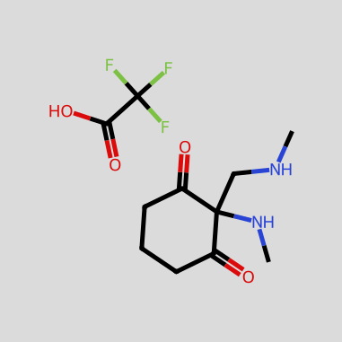 CNCC1(NC)C(=O)CCCC1=O.O=C(O)C(F)(F)F